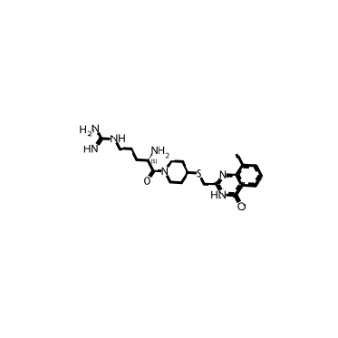 Cc1cccc2c(=O)[nH]c(CSC3CCN(C(=O)[C@@H](N)CCCNC(=N)N)CC3)nc12